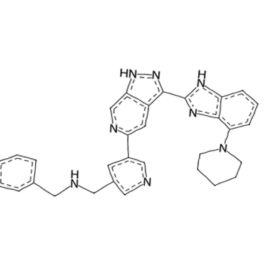 c1ccc(CNCc2cncc(-c3cc4c(-c5nc6c(N7CCCCC7)cccc6[nH]5)n[nH]c4cn3)c2)cc1